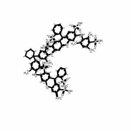 C=c1cc2c(cc1S(=O)(=O)O)=C(c1ccccc1S(=O)(=O)O)c1cc(S(=O)(=O)O)c(Nc3c(C)cc(C4(c5cc(C)c(N=c6cc7oc8cc(Nc9c(C)cc(C)c(S(=O)(=O)O)c9C)c(S(=O)(=O)O)cc8c(-c8ccccc8S(=O)(=O)O)c-7cc6S(=O)(=O)O)c(C)c5)CCCCC4)cc3C)cc1O2